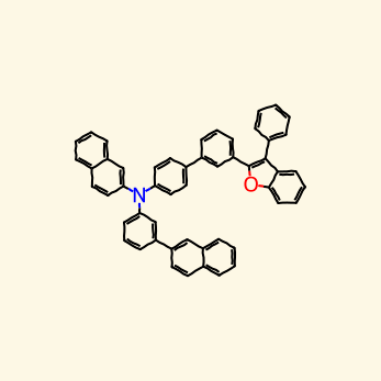 c1ccc(-c2c(-c3cccc(-c4ccc(N(c5cccc(-c6ccc7ccccc7c6)c5)c5ccc6ccccc6c5)cc4)c3)oc3ccccc23)cc1